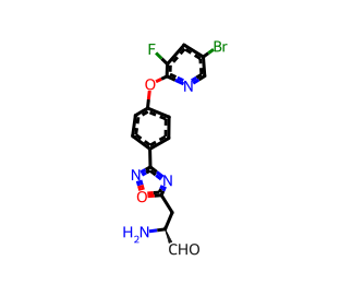 N[C@H](C=O)Cc1nc(-c2ccc(Oc3ncc(Br)cc3F)cc2)no1